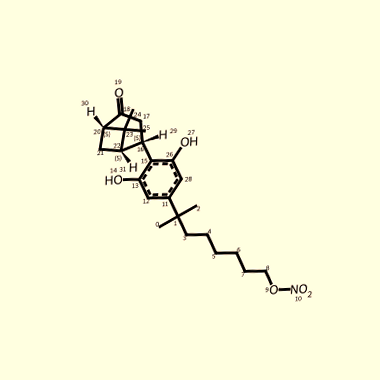 CC(C)(CCCCCCO[N+](=O)[O-])c1cc(O)c([C@H]2CC(=O)[C@H]3C[C@@H]2C3(C)C)c(O)c1